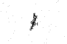 O=C(COCc1ccc(F)cc1)NCCCCI